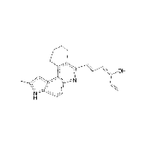 C=C/C(O)=C\C=C\c1nc2ccc3[nH]c(C)cc3c2c2c1CCCC2